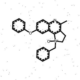 Cc1nc2ccc(Oc3ccccc3)cc2c2c1CC[N+]2([O-])Cc1ccccc1